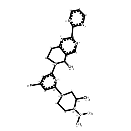 CC1c2cnc(-c3ncccn3)nc2CCN1c1cc(F)cc(N2CCN([S+](C)[O-])C(C)C2)n1